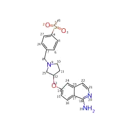 CS(=O)(=O)c1ccc(CN2CCC(Oc3ccc4c(N)nccc4c3)C2)cc1